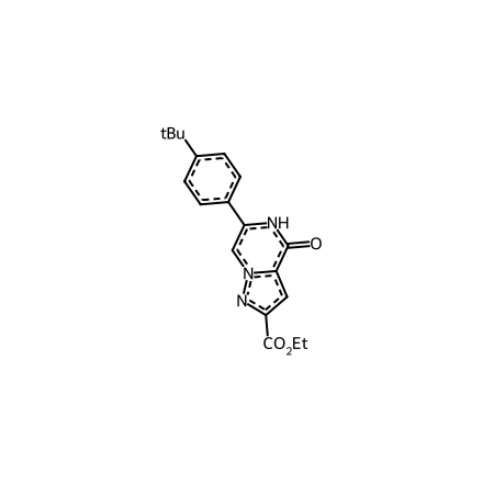 CCOC(=O)c1cc2c(=O)[nH]c(-c3ccc(C(C)(C)C)cc3)cn2n1